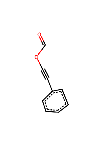 O=[C]OC#Cc1ccccc1